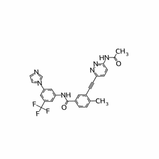 CC(=O)Nc1ccc(C#Cc2cc(C(=O)Nc3cc(-n4ccnc4)cc(C(F)(F)F)c3)ccc2C)nn1